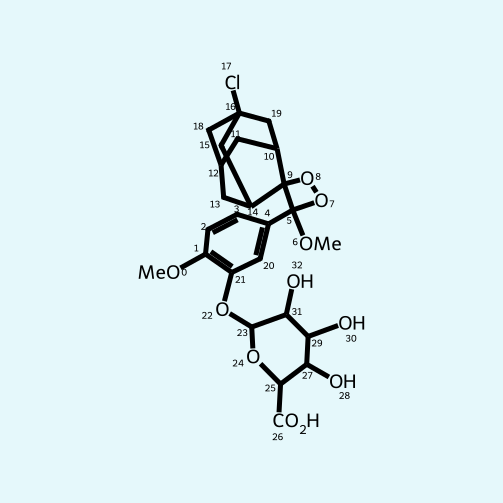 COc1ccc(C2(OC)OOC23C2CC4CC3CC(Cl)(C4)C2)cc1OC1OC(C(=O)O)C(O)C(O)C1O